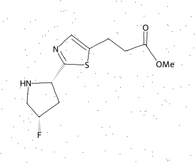 COC(=O)CCc1cnc([C@@H]2C[C@H](F)CN2)s1